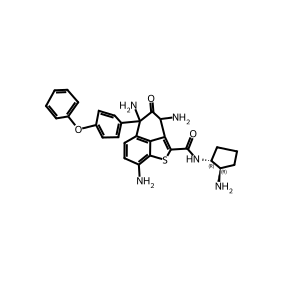 Nc1ccc2c3c(c(C(=O)N[C@@H]4CCC[C@H]4N)sc13)C(N)C(=O)C2(N)c1ccc(Oc2ccccc2)cc1